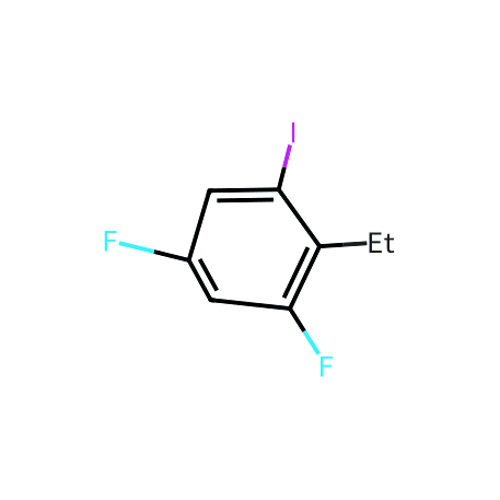 CCc1c(F)cc(F)cc1I